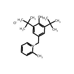 Cc1cccc[n+]1Cc1cc(C(C)(C)C)c(O)c(C(C)(C)C)c1.[Cl-]